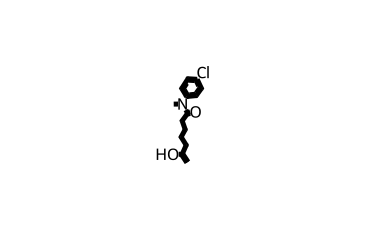 C=C(O)CCCCC(=O)N(C)c1ccc(Cl)cc1